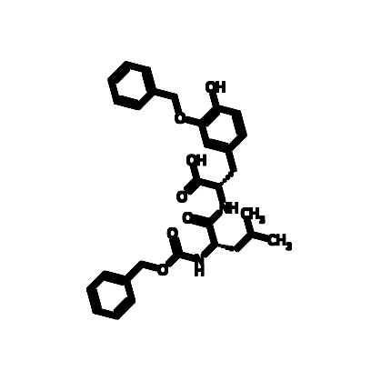 CC(C)C[C@H](NC(=O)OCc1ccccc1)C(=O)N[C@@H](Cc1ccc(O)c(OCc2ccccc2)c1)C(=O)O